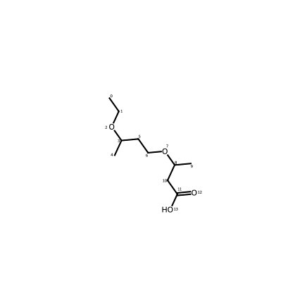 CCOC(C)CCOC(C)CC(=O)O